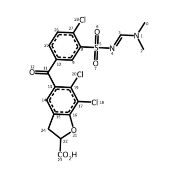 CN(C)/C=N/S(=O)(=O)c1cc(C(=O)c2cc3c(c(Cl)c2Cl)OC(C(=O)O)C3)ccc1Cl